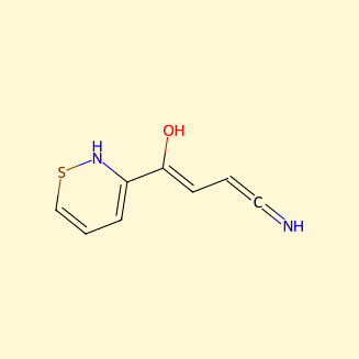 N=C=CC=C(O)C1=CC=CSN1